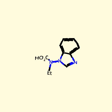 CCN(C(=O)O)n1cnc2ccccc21